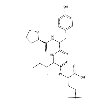 CCC(C)C(NC(=O)C(Cc1ccc(O)cc1)NC(=O)[C@H]1CCCO1)C(=O)NC(CCC(C)(C)C)C(=O)O